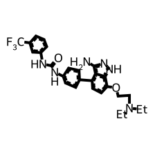 CCN(CC)CCOc1ccc(-c2ccc(NC(=O)Nc3cccc(C(F)(F)F)c3)cc2)c2c(N)n[nH]c12